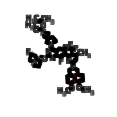 COc1ccc(CN(Cc2ccc(OC)cc2)c2cc(C)c(C(F)(F)F)c(-c3c(Cl)cc4c(N5CCC6(CN(C(=O)OC(C)(C)C)C6)C5)nc(OC[C@]56CCCN5C[C@H](F)C6)nc4c3F)n2)cc1